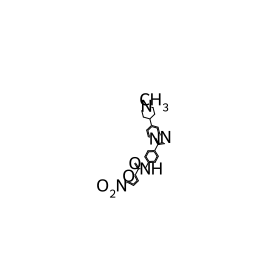 CN1CCC(c2ccn3c(-c4ccc(NC(=O)c5ccc([N+](=O)[O-])o5)cc4)cnc3c2)CC1